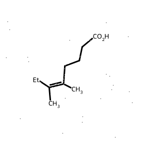 CCC(C)=C(C)CCCC(=O)O